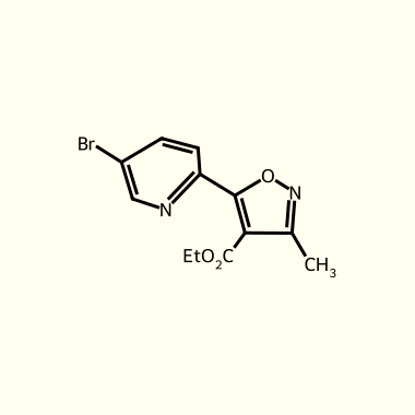 CCOC(=O)c1c(C)noc1-c1ccc(Br)cn1